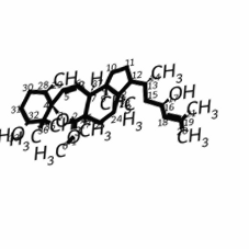 COC1O[C@]2(C=C[C@H]3[C@]4(C)CCC([C@H](C)C[C@@H](O)C=C(C)C)[C@@]4(C)CC[C@]13C)[C@H](C)CC[C@H](O)C2(C)C